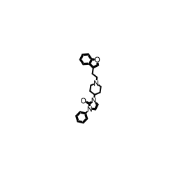 O=c1n(-c2ccccc2)ccn1C1CCN(CCc2coc3ccccc23)CC1